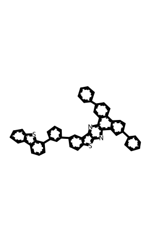 c1ccc(-c2ccc3c4ccc(-c5ccccc5)cc4c4nc5c(nc4c3c2)sc2ccc(-c3cccc(-c4cccc6c4sc4ccccc46)c3)cc25)cc1